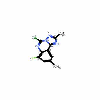 Cc1cc(F)c2nc(Cl)n3nc(C)nc3c2c1